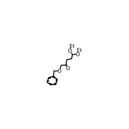 CCOC(CCC(=O)COCc1ccccc1)OCC